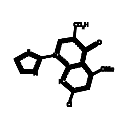 COc1cc(Cl)nc2c1c(=O)c(C(=O)O)cn2-c1nccs1